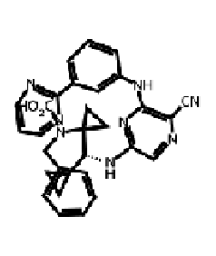 N#Cc1ncc(N[C@H](C2CC2)C2(N(Cc3ccccc3)C(=O)O)CC2)nc1Nc1cccc(-c2ncccn2)c1